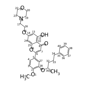 COc1ccc(-c2cc(=O)c3c(O)cc(OCCN4CCOCC4)cc3o2)cc1OC(C)CCCc1ccccc1